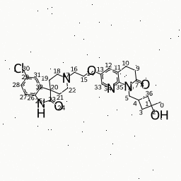 CC1(O)CC(CN2C(=O)CCc3cc(OCCN4CCC5(CC4)C(=O)Nc4ccc(Cl)cc45)cnc32)C1